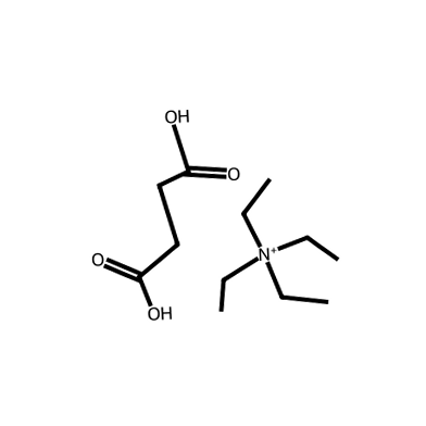 CC[N+](CC)(CC)CC.O=C(O)CCC(=O)O